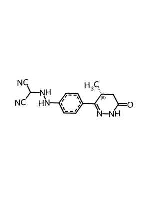 C[C@@H]1CC(=O)NN=C1c1ccc(NNC(C#N)C#N)cc1